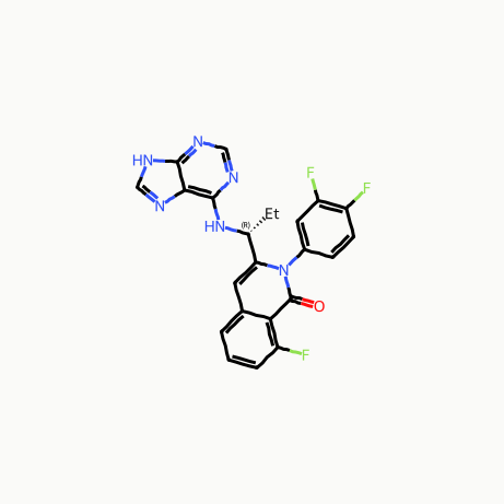 CC[C@@H](Nc1ncnc2[nH]cnc12)c1cc2cccc(F)c2c(=O)n1-c1ccc(F)c(F)c1